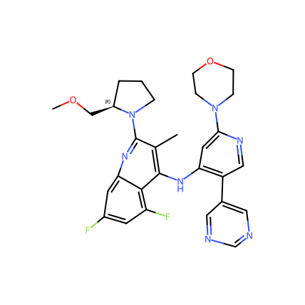 COC[C@H]1CCCN1c1nc2cc(F)cc(F)c2c(Nc2cc(N3CCOCC3)ncc2-c2cncnc2)c1C